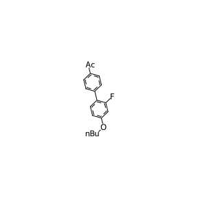 CCCCOc1ccc(-c2ccc(C(C)=O)cc2)c(F)c1